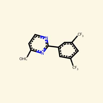 O=Cc1ccnc(-c2cc(C(F)(F)F)cc(C(F)(F)F)c2)n1